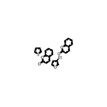 CCc1ccoc1.O=c1ccc2ccccc2o1.O=c1ccc2ccccc2o1.c1ccsc1